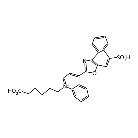 O=C(O)CCCCC[n+]1ccc(-c2nc3c(cc(S(=O)(=O)O)c4ccccc43)o2)c2ccccc21